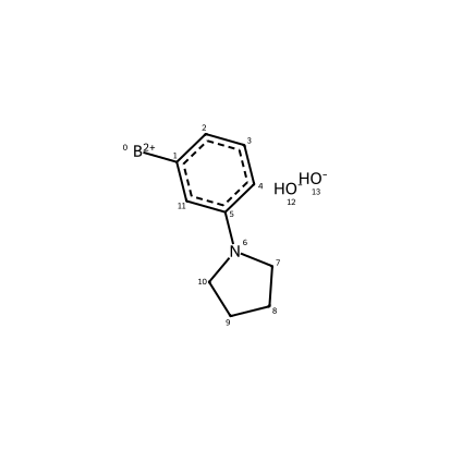 [B+2]c1cccc(N2CCCC2)c1.[OH-].[OH-]